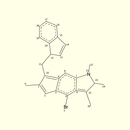 CC1=Cc2c(Br)c3c(cc2=C1CC1C=Cc2ccccc21)N(C)C(C)C=3C